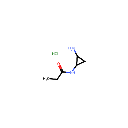 CCC(=O)NC1CC1N.Cl